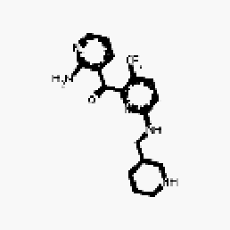 Nc1ncccc1C(=O)c1nc(NCC2CCCNC2)ccc1C(F)(F)F